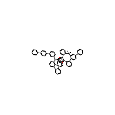 CC1(C)c2ccccc2-c2cc(N(c3cccc(-c4ccc(-c5ccccc5)cc4)c3)c3cccc4c3C3(c5ccccc5-4)C4CC5CC(C4)CC3C5)ccc2-c2ccccc2-c2ccc(-c3ccccc3)cc21